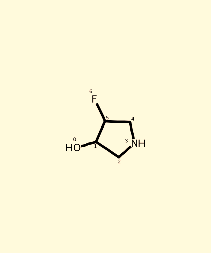 OC1CNCC1F